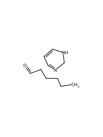 C1=CNCN=C1.CCCCCC=O